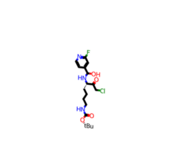 CC(C)(C)OC(=O)NCCCC[C@H](NC(O)c1ccnc(F)c1)C(=O)CCl